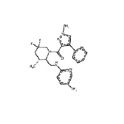 C[C@@H]1CC(F)(F)CN(C(=O)c2nn(C)cc2-c2ccccn2)C1CNc1ccc(C(F)(F)F)cn1